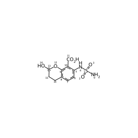 NS(=O)(=O)Nc1ccc2c(c1C(=O)O)OB(O)CC2